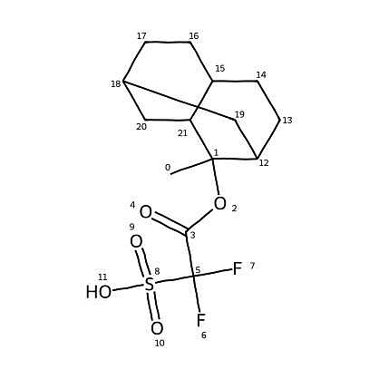 CC1(OC(=O)C(F)(F)S(=O)(=O)O)C2CCC3CCC(C2)CC31